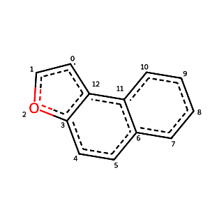 [c]1coc2ccc3ccccc3c12